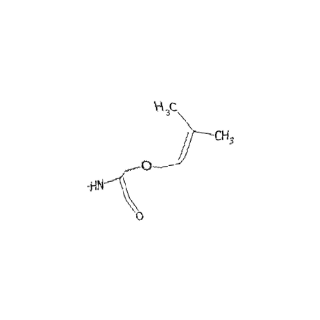 CC(C)=COC([NH])=O